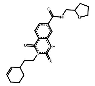 O=C(NCC1CCCO1)c1ccc2c(=O)n(CCC3C=CCCC3)c(=S)[nH]c2c1